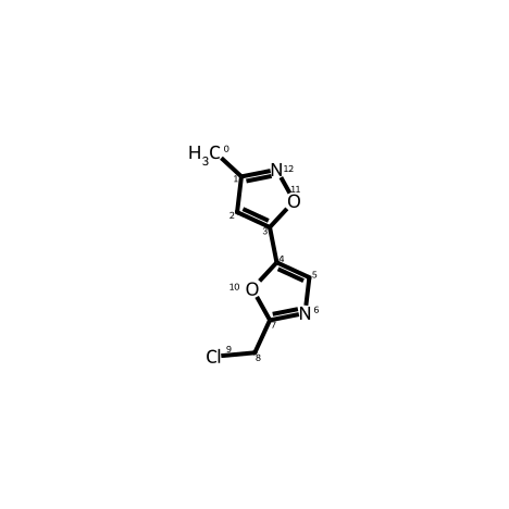 Cc1cc(-c2cnc(CCl)o2)on1